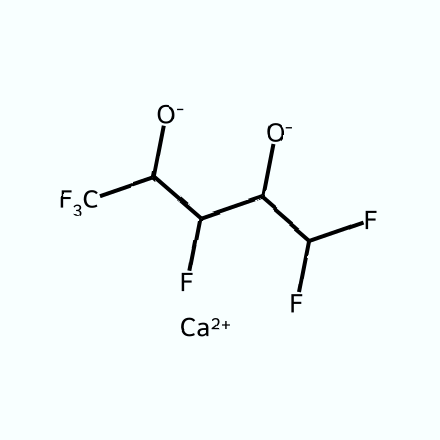 [Ca+2].[O-]C(C(F)F)C(F)C([O-])C(F)(F)F